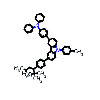 Cc1ccc(-n2c3c(c4cc(-c5ccc(C(CC(C)C)C(C)(C)C)cc5)ccc42)CC(c2ccc(N(C4=CC=CCC4)c4ccccc4)cc2)C=C3)cc1